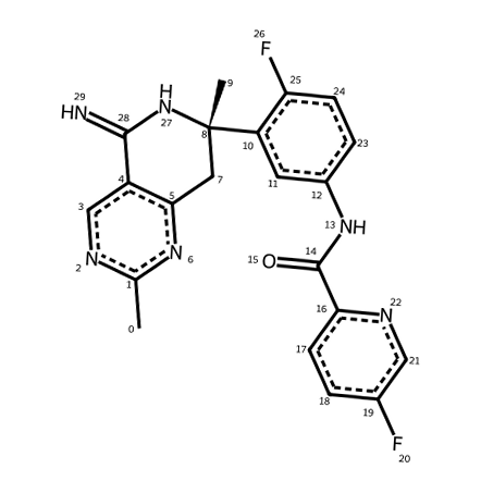 Cc1ncc2c(n1)C[C@@](C)(c1cc(NC(=O)c3ccc(F)cn3)ccc1F)NC2=N